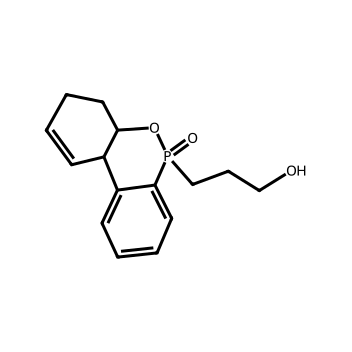 O=P1(CCCO)OC2CCC=CC2c2ccccc21